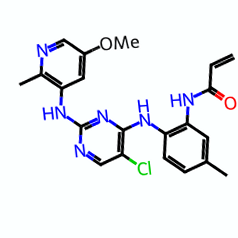 C=CC(=O)Nc1cc(C)ccc1Nc1nc(Nc2cc(OC)cnc2C)ncc1Cl